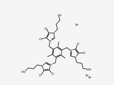 Cc1c(C[n+]2cn(CCCO)c(Cl)c2Cl)c(C)c(C[n+]2cn(CCCO)c(Cl)c2Cl)c(C)c1C[n+]1cn(CCCO)c(Cl)c1Cl.[Br-].[Br-].[Br-]